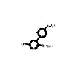 O=S(=O)(O)c1ccc(-c2cc(Br)ccc2Br)cc1.[NaH]